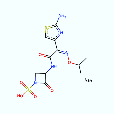 CC(C)ON=C(C(=O)NC1CN(S(=O)(=O)O)C1=O)c1csc(N)n1.[NaH]